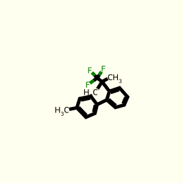 Cc1ccc(-c2ccccc2C(C)(C)C(F)(F)F)cc1